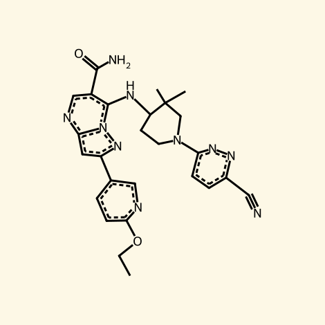 CCOc1ccc(-c2cc3ncc(C(N)=O)c(NC4CCN(c5ccc(C#N)nn5)CC4(C)C)n3n2)cn1